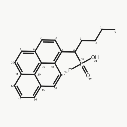 CCCCC(c1ccc2ccc3cccc4ccc1c2c34)P(=O)(O)F